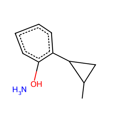 CC1CC1c1ccccc1O.N